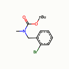 CCCCOC(=O)N(C)Cc1ccccc1Br